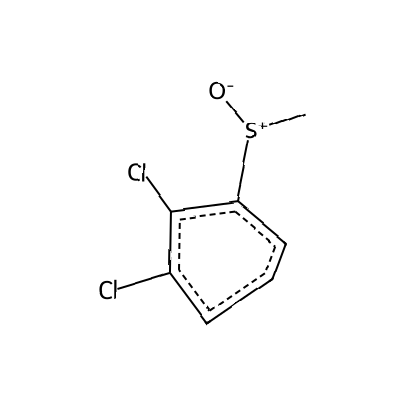 C[S+]([O-])c1cccc(Cl)c1Cl